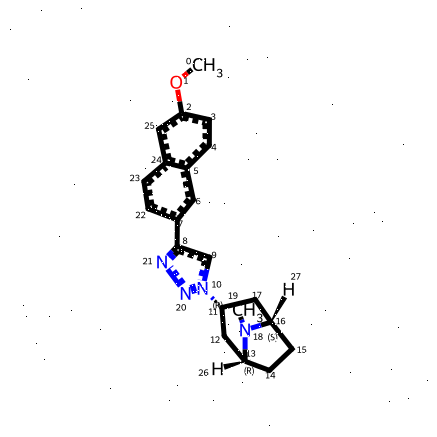 COc1ccc2cc(-c3cn([C@H]4C[C@H]5CC[C@@H](C4)N5C)nn3)ccc2c1